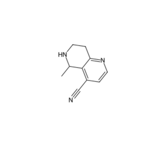 CC1NCCc2nccc(C#N)c21